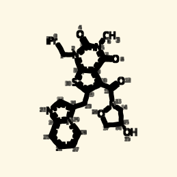 CC(C)Cn1c(=O)n(C)c(=O)c2c(C(=O)N3C[C@H](O)CO3)c(Cc3cnc4ccccn34)sc21